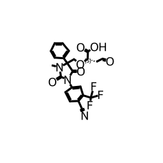 CN1C(=O)N(c2ccc(C#N)c(C(F)(F)F)c2)C(=O)C1(CO[C@@H](CC=O)C(=O)O)c1ccccc1